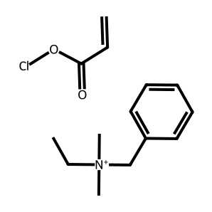 C=CC(=O)OCl.CC[N+](C)(C)Cc1ccccc1